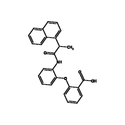 CC(C(=O)Nc1ccccc1Oc1ccccc1C(=O)O)c1cccc2ccccc12